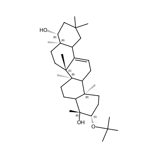 CC1(C)CC2C3=CCC4[C@@]5(C)CC[C@H](OC(C)(C)C)[C@](C)(O)C5CC[C@@]4(C)[C@]3(C)CC[C@@]2(C)[C@H](O)C1